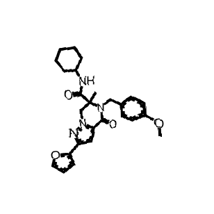 COc1ccc(CN2C(=O)c3cc(-c4ccco4)nn3CC2(C)C(=O)NC2CCCCC2)cc1